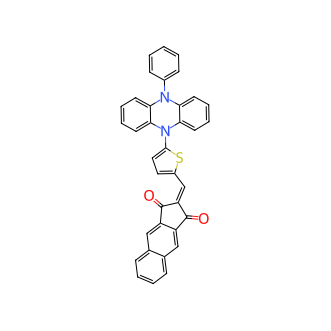 O=C1C(=Cc2ccc(N3c4ccccc4N(c4ccccc4)c4ccccc43)s2)C(=O)c2cc3ccccc3cc21